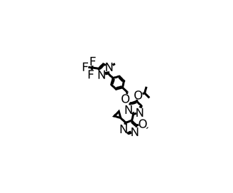 COc1ncnc(C2CC2)c1-c1ncc(OC(C)C)c(OCc2ccc(-c3nc(C(F)(F)F)cn3C)cc2)n1